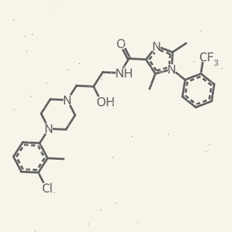 Cc1c(Cl)cccc1N1CCN(CC(O)CNC(=O)c2nc(C)n(-c3ccccc3C(F)(F)F)c2C)CC1